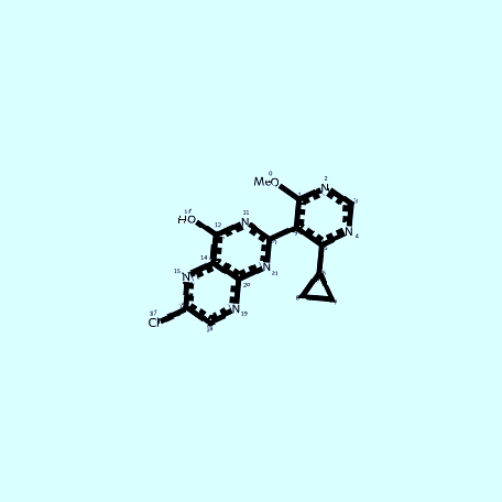 COc1ncnc(C2CC2)c1-c1nc(O)c2nc(Cl)cnc2n1